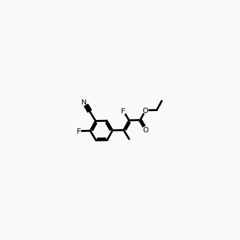 CCOC(=O)C(F)=C(C)c1ccc(F)c(C#N)c1